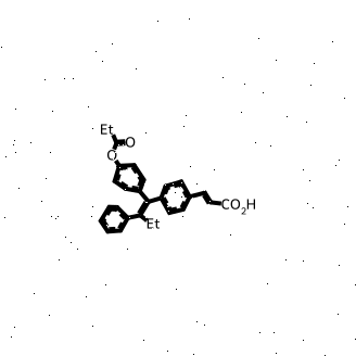 CCC(=O)Oc1ccc(C(=C(CC)c2ccccc2)c2ccc(C=CC(=O)O)cc2)cc1